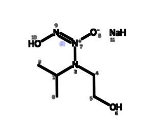 CC(C)N(CCO)/[N+]([O-])=N\O.[NaH]